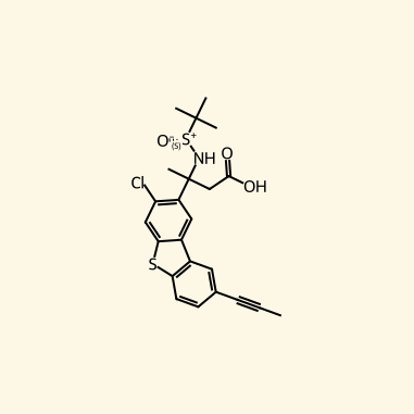 CC#Cc1ccc2sc3cc(Cl)c(C(C)(CC(=O)O)N[S@+]([O-])C(C)(C)C)cc3c2c1